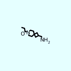 CCC(=O)N1CCC2(CC1)CC(CN)C2